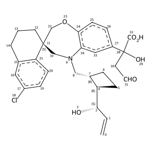 C=C[C@H](O)[C@@H]1CC[C@H]1CN1C[C@@]2(CCCc3cc(Cl)ccc32)COc2ccc(C(O)(CC=O)C(=O)O)cc21